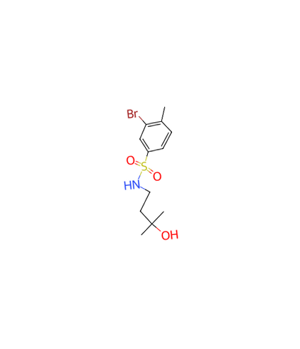 Cc1ccc(S(=O)(=O)NCCC(C)(C)O)cc1Br